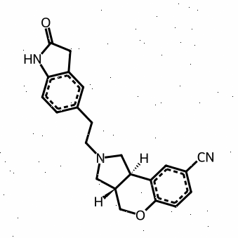 N#Cc1ccc2c(c1)[C@@H]1CN(CCc3ccc4c(c3)CC(=O)N4)C[C@H]1CO2